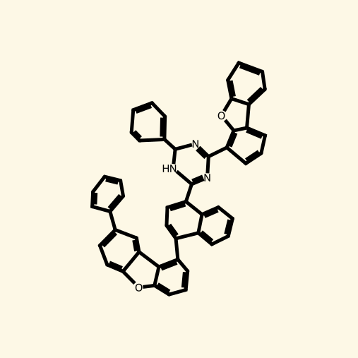 c1ccc(-c2ccc3oc4cccc(-c5ccc(C6=NC(c7cccc8c7oc7ccccc78)=NC(c7ccccc7)N6)c6ccccc56)c4c3c2)cc1